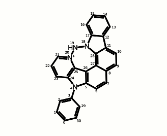 c1ccc(-n2c3ccc4ccc5c6ccccc6n6[nH][n+]7cccc2c7c3c4c56)cc1